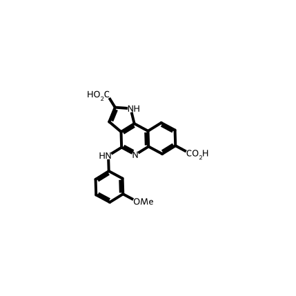 COc1cccc(Nc2nc3cc(C(=O)O)ccc3c3[nH]c(C(=O)O)cc23)c1